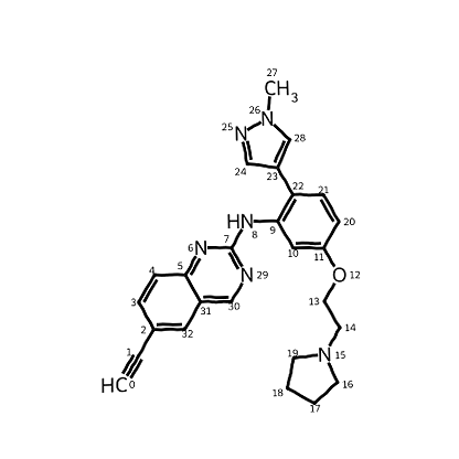 C#Cc1ccc2nc(Nc3cc(OCCN4CCCC4)ccc3-c3cnn(C)c3)ncc2c1